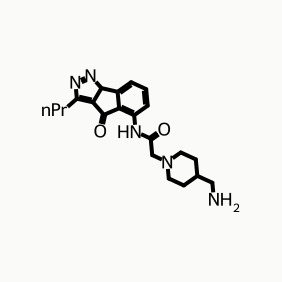 CCCC1=C2C(=O)c3c(NC(=O)CN4CCC(CN)CC4)cccc3C2N=N1